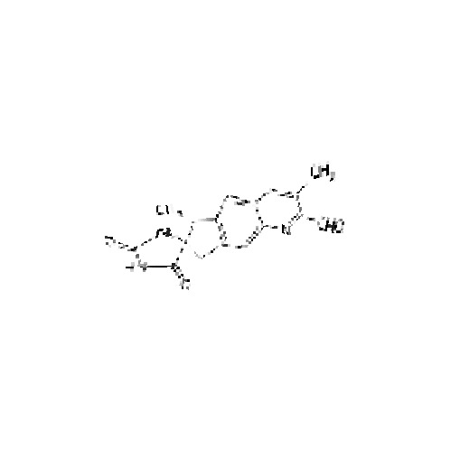 Cc1cc2cc3c(cc2nc1C=O)C[C@]1(C3)C(=O)NC(=O)N1C